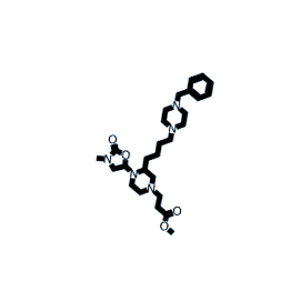 COC(=O)CCN1CCN(C2CN(C)C(=O)O2)C(CCCCN2CCN(Cc3ccccc3)CC2)C1